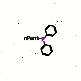 C[CH]CCCP(c1ccccc1)c1ccccc1